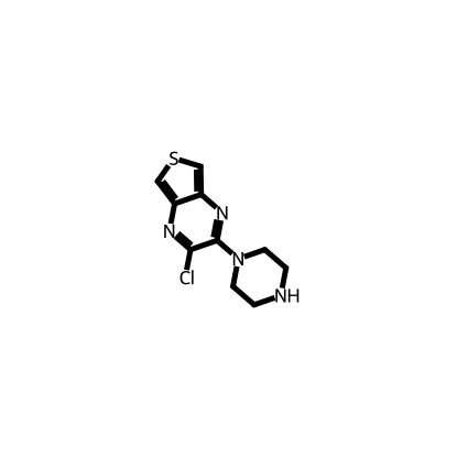 Clc1nc2cscc2nc1N1CCNCC1